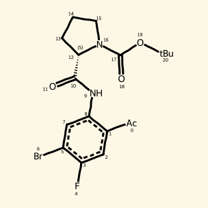 CC(=O)c1cc(F)c(Br)cc1NC(=O)[C@@H]1CCCN1C(=O)OC(C)(C)C